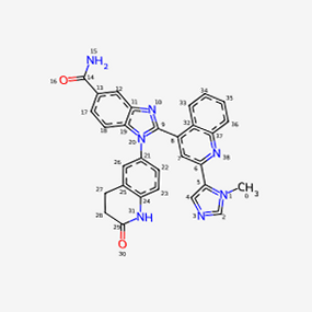 Cn1cncc1-c1cc(-c2nc3cc(C(N)=O)ccc3n2-c2ccc3c(c2)CCC(=O)N3)c2ccccc2n1